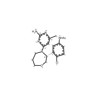 CC(=O)Nc1ccc(Cl)c([C@@H]2COCCCN2c2cc(C)nc(N)n2)c1